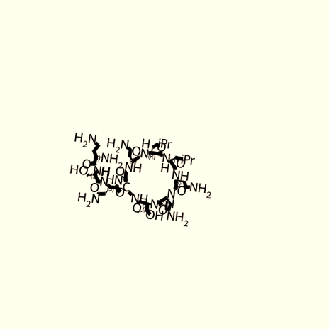 CC(C)C[C@@H]1NC(=O)[C@@H](CC(C)C)NC(=O)[C@H](CCN)NC(=O)[C@@H](NC(=O)[C@H](CCN)NC(=O)[C@H](CO)NC(=O)[C@@H](N)CCN)CCNC(=O)[C@H]([C@@H](C)O)NC(=O)[C@H](CCN)NC(=O)[C@H](CCN)NC1=O